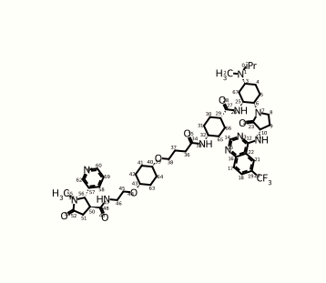 CC(C)N(C)[C@@H]1CC[C@H](N2CC[C@H](Nc3ncnc4ccc(C(F)(F)F)cc34)C2=O)[C@H](NC(=O)[C@H]2CC[C@@H](NC(=O)CCCO[C@H]3CC[C@@H](OCCNC(=O)[C@H]4CC(=O)N(C)[C@@H]4c4cccnc4)CC3)CC2)C1